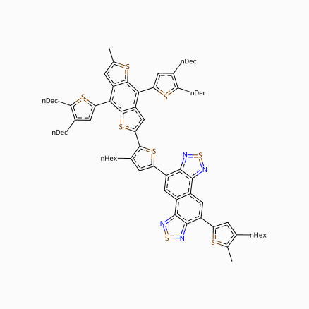 CCCCCCCCCCc1cc(-c2c3cc(-c4sc(-c5cc6c(cc(-c7cc(CCCCCC)c(C)s7)c7nsnc76)c6nsnc56)cc4CCCCCC)sc3c(-c3cc(CCCCCCCCCC)c(CCCCCCCCCC)s3)c3cc(C)sc23)sc1CCCCCCCCCC